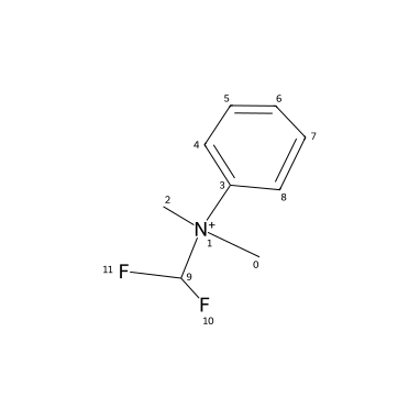 C[N+](C)(c1ccccc1)C(F)F